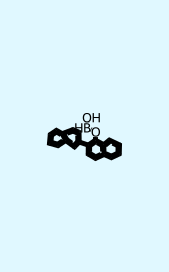 OBOc1c(-c2ccc3ccccc3c2)ccc2ccccc12